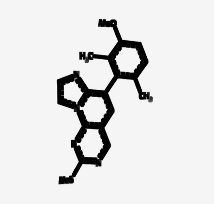 COc1ccc(C)c(-c2cc3cnc(SC)nc3n3ccnc23)c1C